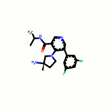 CC(NC(=O)c1cncc(-c2cc(F)cc(F)c2)c1N1CC[C@](C)(N)C1)C(F)(F)F